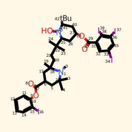 CN1C(C)(C)CC(C(=O)Oc2ccccc2I)CC1(C)CCC(C)(C)C1CC(OC(=O)c2cc(I)cc(I)c2I)CC(C(C)(C)C)N1O